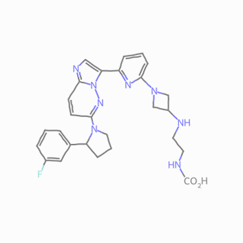 O=C(O)NCCNC1CN(c2cccc(-c3cnc4ccc(N5CCCC5c5cccc(F)c5)nn34)n2)C1